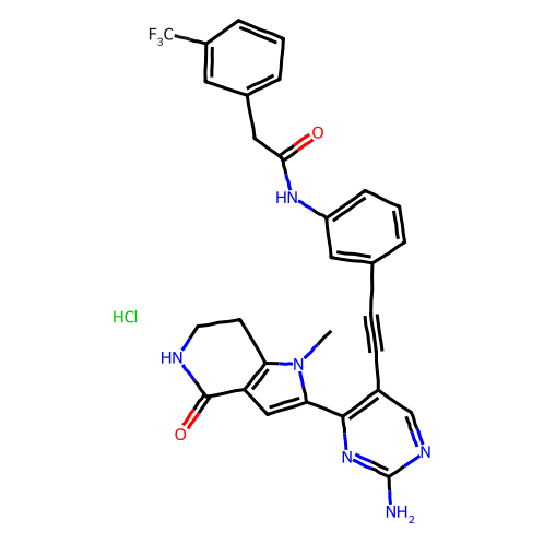 Cl.Cn1c(-c2nc(N)ncc2C#Cc2cccc(NC(=O)Cc3cccc(C(F)(F)F)c3)c2)cc2c1CCNC2=O